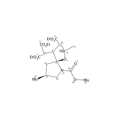 CCOC(=O)CC(C(C(=O)OCC)C(=O)OCC)[C@@]1(O[SiH](C)C)C[C@H](C(C)(C)C)CN1C(=O)OC(C)(C)C